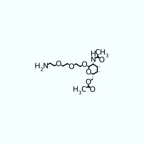 CC(=O)N[C@@H]1[CH][CH][C@H](COC(C)=O)O[C@H]1OCCOCCOCCN